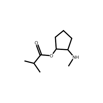 CNC1CCCC1OC(=O)C(C)C